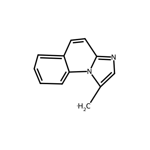 [CH2]c1cnc2ccc3ccccc3n12